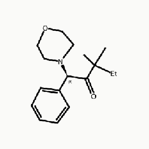 CCC(C)(C)C(=O)[C@@H](c1ccccc1)N1CCOCC1